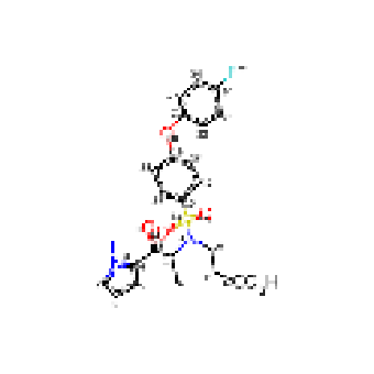 CC(C(=O)c1ccc[nH]1)N(CCC(=O)O)S(=O)(=O)c1ccc(Oc2ccc(F)cc2)cc1